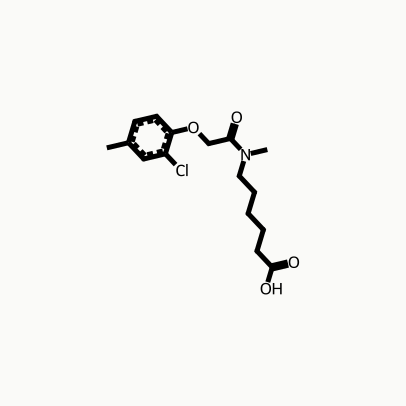 Cc1ccc(OCC(=O)N(C)CCCCCC(=O)O)c(Cl)c1